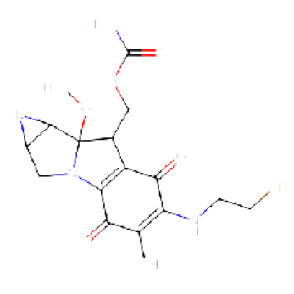 COC12C(COC(N)=O)C3=C(C(=O)C(C)=C(NCCS)C3=O)N1CC1NC12